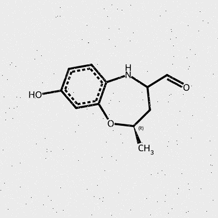 C[C@@H]1CC(C=O)Nc2ccc(O)cc2O1